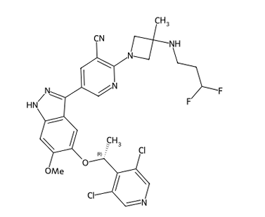 COc1cc2[nH]nc(-c3cnc(N4CC(C)(NCCC(F)F)C4)c(C#N)c3)c2cc1O[C@H](C)c1c(Cl)cncc1Cl